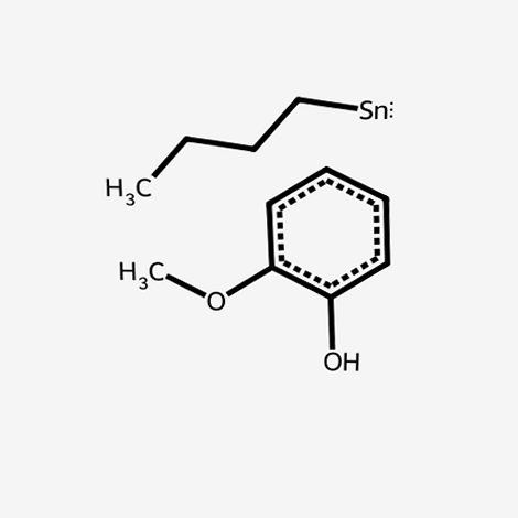 CCC[CH2][Sn].COc1ccccc1O